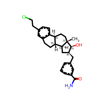 C[C@]12CC[C@@H]3c4ccc(CCCl)cc4CC[C@H]3[C@@H]1C[C@H](Cc1cccc(C(N)=O)c1)[C@@H]2O